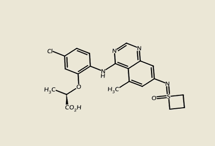 Cc1cc(N=S2(=O)CCC2)cc2ncnc(Nc3ccc(Cl)cc3O[C@H](C)C(=O)O)c12